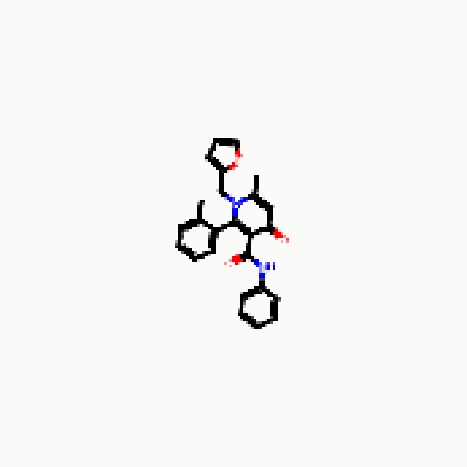 Cc1ccccc1-c1c(C(=O)Nc2ccccc2)c(=O)cc(C)n1Cc1ccco1